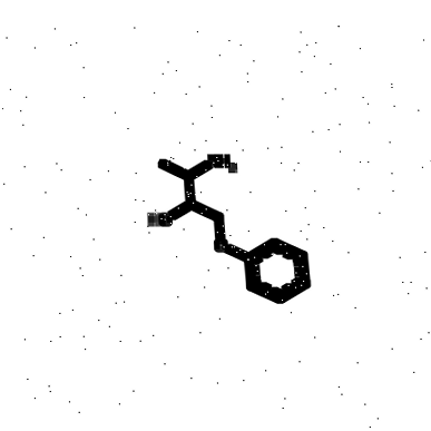 CC(N)C(O)COc1ccccc1